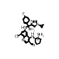 BC(Nc1cc(Cl)c2ncc(C#N)c(N[C@@H]3CCCC[C@@H]3N)c2c1)(c1ccc(F)cc1)c1cn(C2CC2)nn1